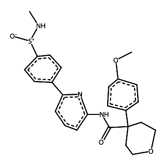 CN[S+]([O-])c1ccc(-c2cccc(NC(=O)C3(c4ccc(OC)cc4)CCOCC3)n2)cc1